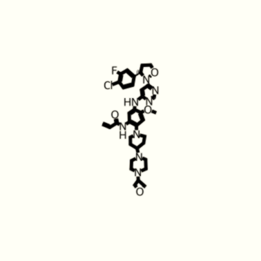 C=CC(=O)Nc1cc(Nc2cc(N3OCC[C@@H]3c3ccc(Cl)c(F)c3)ncn2)c(OC)cc1N1CCC(N2CCN(C3COC3)CC2)CC1